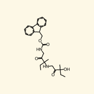 CCC(C)(O)C(=O)CNC(C)(CC)C(=O)CNC(=O)OCC1c2ccccc2-c2ccccc21